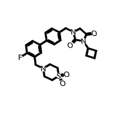 O=C1CN(Cc2ccc(-c3ccc(F)c(CN4CCS(=O)(=O)CC4)c3)cc2)C(=O)N1C1CCC1